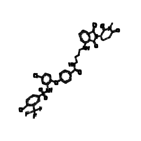 CN1C(=O)CCC(N2C(=O)c3cccc(NCCCCNC(=O)c4ccc(Oc5ccc(Cl)cc5NS(=O)(=O)c5ccc(Cl)c(C(F)(F)F)c5)cc4)c3C2=O)C1=O